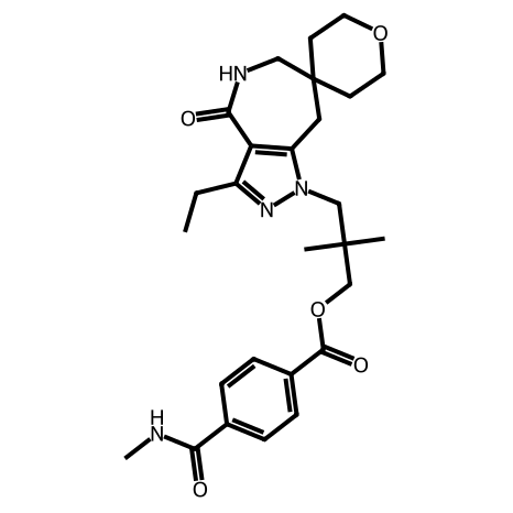 CCc1nn(CC(C)(C)COC(=O)c2ccc(C(=O)NC)cc2)c2c1C(=O)NCC1(CCOCC1)C2